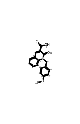 O=C(O)c1cc2ccccc2n(Cc2ccc(OF)cc2)c1=O